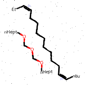 CC/C=C\CCCCCCCC/C=C\CCCC.CCCCCCCOCOCOCCCCCCC